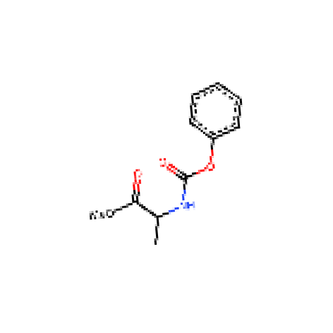 COC(=O)C(C)NC(=O)Oc1ccccc1